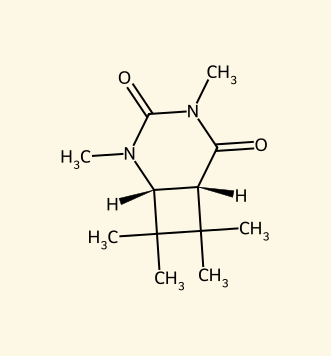 CN1C(=O)[C@H]2[C@@H](N(C)C1=O)C(C)(C)C2(C)C